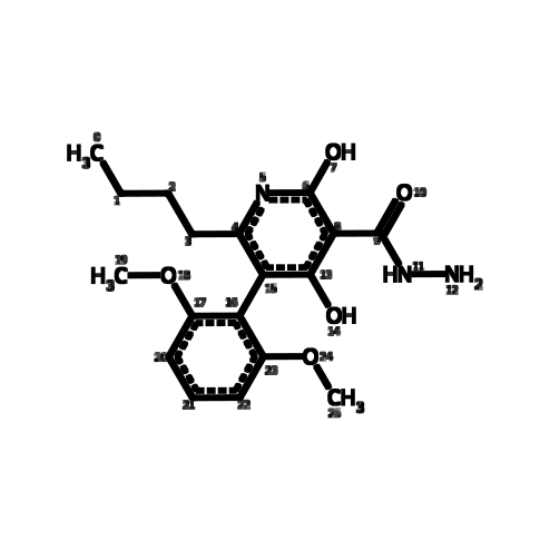 CCCCc1nc(O)c(C(=O)NN)c(O)c1-c1c(OC)cccc1OC